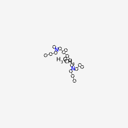 CC1(C)c2cc(-c3ccc(N(c4cccc(-c5ccc(-c6ccccc6)cc5)c4)c4cccc(-c5cccc6ccccc56)c4)cc3)ccc2-c2ccc(-c3ccc(-c4cccc(N(c5ccccc5)c5cccc(-c6ccc(-c7ccccc7)cc6)c5)c4)c4ccccc34)cc21